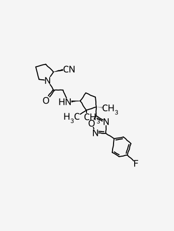 CC1(C)[C@@H](NCC(=O)N2CCC[C@H]2C#N)CC[C@@]1(C)c1nc(-c2ccc(F)cc2)no1